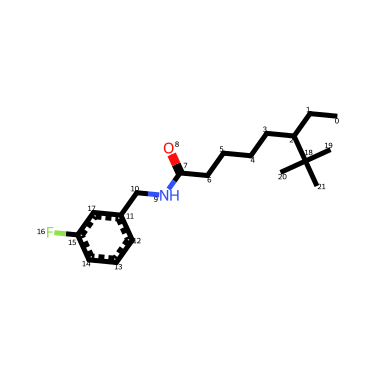 CCC(CCCCC(=O)NCc1cccc(F)c1)C(C)(C)C